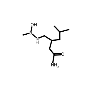 CB(O)NCC(CC(N)=O)CC(C)C